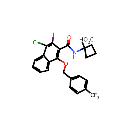 O=C(NC1(C(=O)O)CCC1)c1c(I)c(Cl)c2ccccc2c1OCc1ccc(C(F)(F)F)cc1